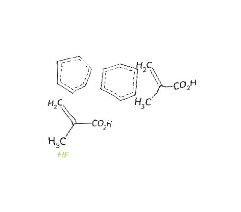 C=C(C)C(=O)O.C=C(C)C(=O)O.F.c1ccccc1.c1ccccc1